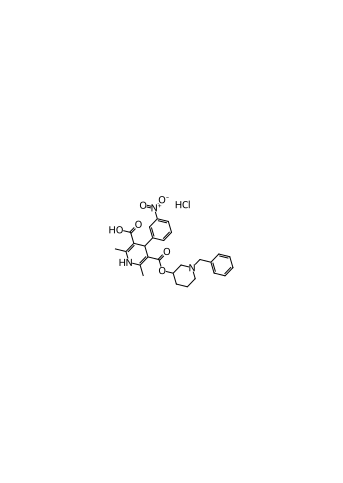 CC1=C(C(=O)O)C(c2cccc([N+](=O)[O-])c2)C(C(=O)OC2CCCN(Cc3ccccc3)C2)=C(C)N1.Cl